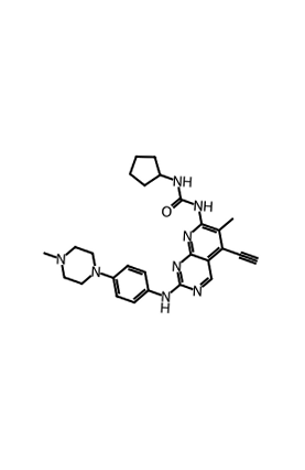 C#Cc1c(C)c(NC(=O)NC2CCCC2)nc2nc(Nc3ccc(N4CCN(C)CC4)cc3)ncc12